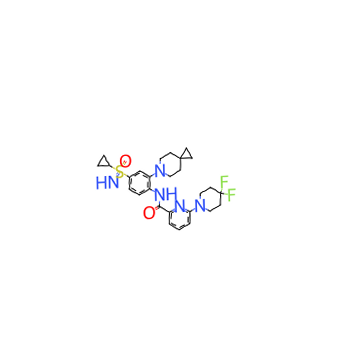 N=S(=O)(c1ccc(NC(=O)c2cccc(N3CCC(F)(F)CC3)n2)c(N2CCC3(CC2)CC3)c1)C1CC1